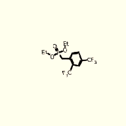 CCOP(=O)(Cc1ccc(C(F)(F)F)cc1C(F)(F)F)OCC